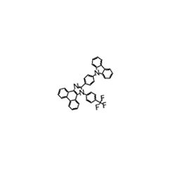 FC(F)(F)c1ccc(-n2c(-c3ccc(-n4c5ccccc5c5ccccc54)cc3)nc3c4ccccc4c4ccccc4c32)cc1